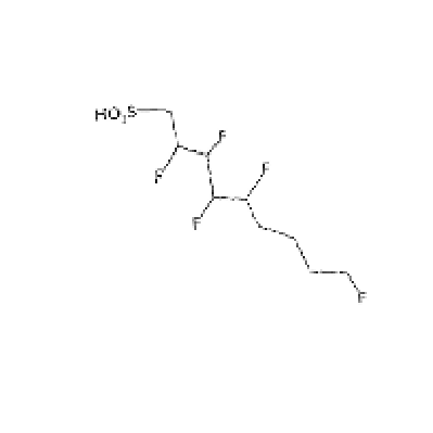 O=S(=O)(O)CC(F)C(F)C(F)C(F)CCCCF